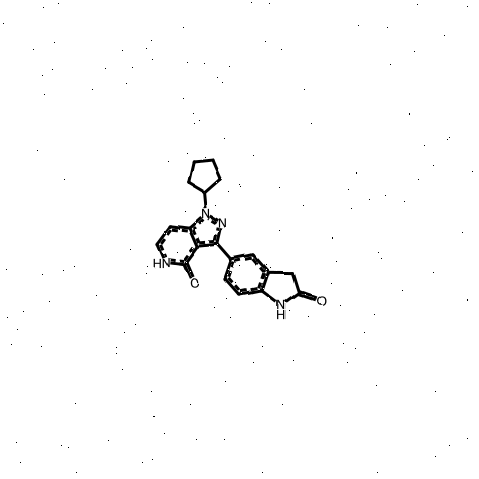 O=C1Cc2cc(-c3nn(C4CCCC4)c4cc[nH]c(=O)c34)ccc2N1